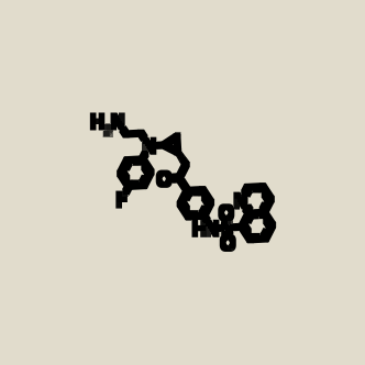 NCCN(c1ccc(F)cc1)C1C[C@H]1CC(=O)c1ccc(NS(=O)(=O)c2cccc3cccnc23)cc1